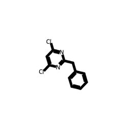 Clc1cc(Cl)nc(Cc2ccccc2)n1